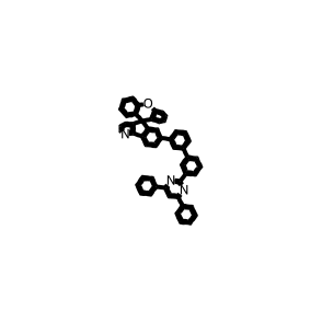 c1ccc(-c2cc(-c3ccccc3)nc(-c3cccc(-c4cccc(-c5ccc6c(c5)C5(c7ccccc7Oc7ccccc75)c5cccnc5-6)c4)c3)n2)cc1